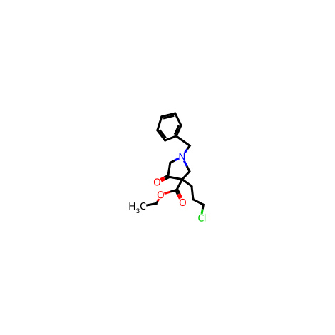 CCOC(=O)C1(CCCCl)CN(Cc2ccccc2)CC1=O